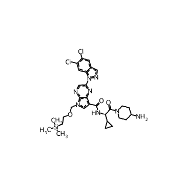 C[Si](C)(C)CCOCn1cc(C(=O)N[C@@H](C(=O)N2CCC(N)CC2)C2CC2)c2nc(-n3ncc4cc(Cl)c(Cl)cc43)cnc21